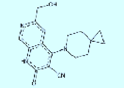 N#Cc1c(N2CCC3(CC2)CC3)c2cc(CO)ncc2[nH]c1=O